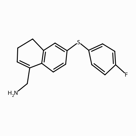 NCC1=CCCc2cc(Sc3ccc(F)cc3)ccc21